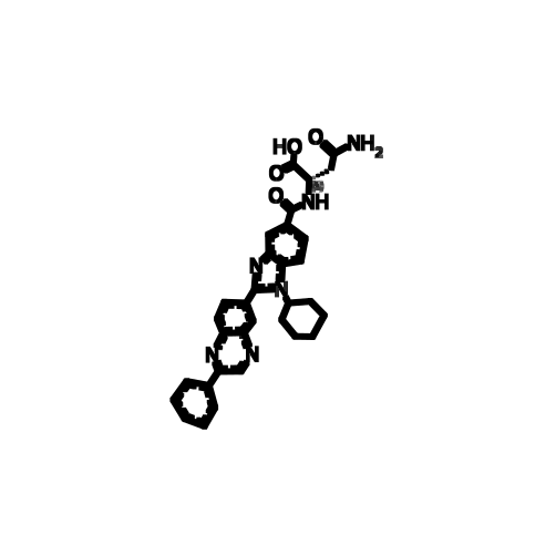 NC(=O)C[C@H](NC(=O)c1ccc2c(c1)nc(-c1ccc3nc(-c4ccccc4)cnc3c1)n2C1CCCCC1)C(=O)O